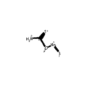 NC(=S)[O][Mo]=[S]